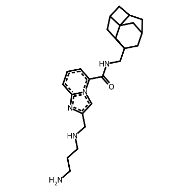 NCCCNCc1cn2c(C(=O)NCC34CC5CC6CC(C3)C6(C5)C4)cccc2n1